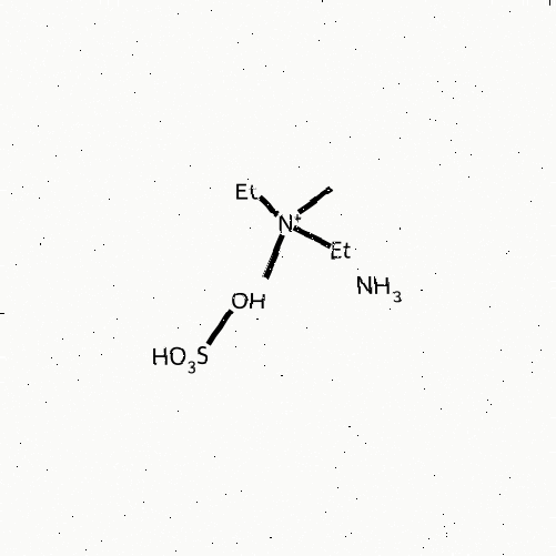 CC[N+](C)(C)CC.N.O=S(=O)(O)O